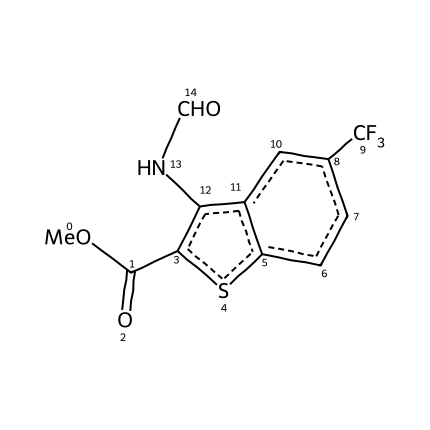 COC(=O)c1sc2ccc(C(F)(F)F)cc2c1NC=O